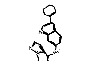 C=C(Nc1ccc2cc(C3=CCCCC3)cnc2c1)c1ccnn1C